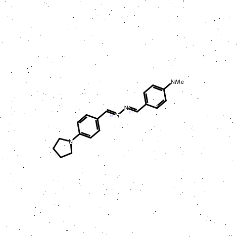 CNc1ccc(/C=N/N=C/c2ccc(N3CCCC3)cc2)cc1